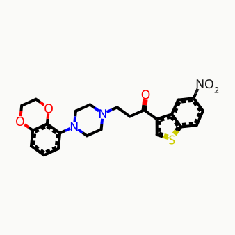 O=C(CCN1CCN(c2cccc3c2OCCO3)CC1)c1csc2ccc([N+](=O)[O-])cc12